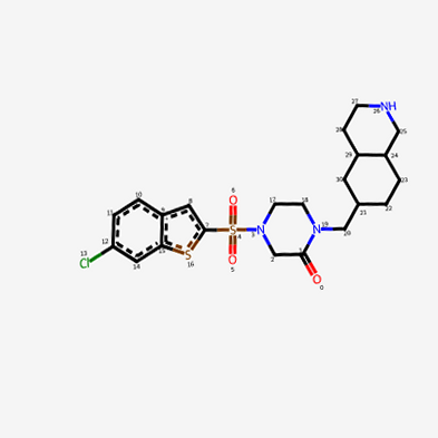 O=C1CN(S(=O)(=O)c2cc3ccc(Cl)cc3s2)CCN1CC1CCC2CNCCC2C1